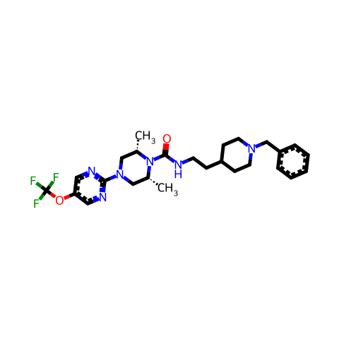 C[C@@H]1CN(c2ncc(OC(F)(F)F)cn2)C[C@H](C)N1C(=O)NCCC1CCN(Cc2ccccc2)CC1